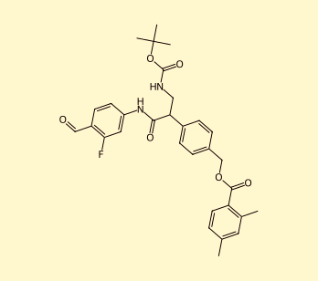 Cc1ccc(C(=O)OCc2ccc(C(CNC(=O)OC(C)(C)C)C(=O)Nc3ccc(C=O)c(F)c3)cc2)c(C)c1